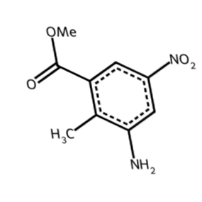 COC(=O)c1cc([N+](=O)[O-])cc(N)c1C